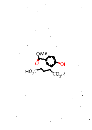 COC(=O)c1ccc(O)cc1.O=C(O)CCCC(=O)O